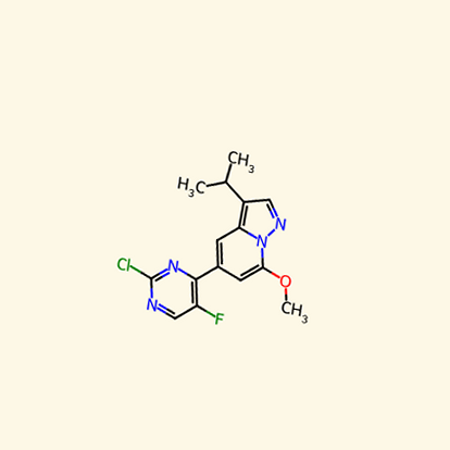 COc1cc(-c2nc(Cl)ncc2F)cc2c(C(C)C)cnn12